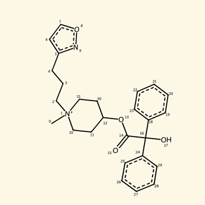 C[N+]1(CCCc2ccon2)CCC(OC(=O)C(O)(c2ccccc2)c2ccccc2)CC1